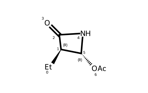 CC[C@H]1C(=O)N[C@@H]1OC(C)=O